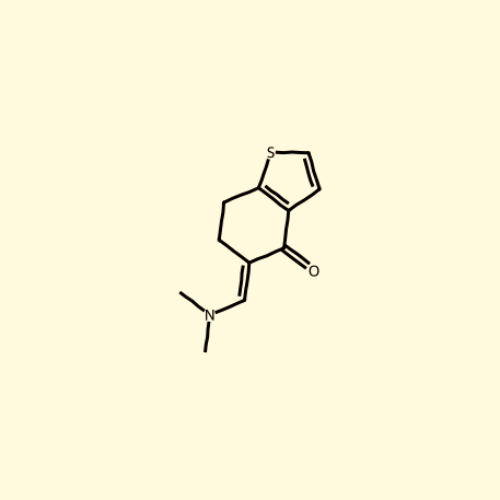 CN(C)C=C1CCc2sccc2C1=O